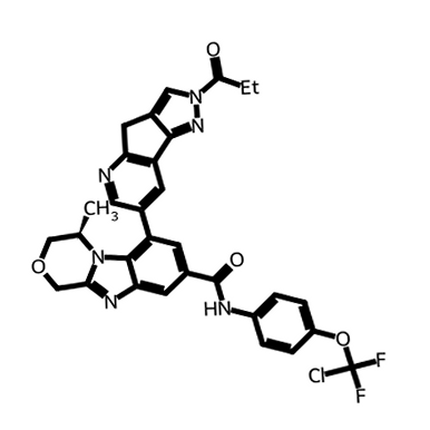 CCC(=O)n1cc2c(n1)-c1cc(-c3cc(C(=O)Nc4ccc(OC(F)(F)Cl)cc4)cc4nc5n(c34)[C@H](C)COC5)cnc1C2